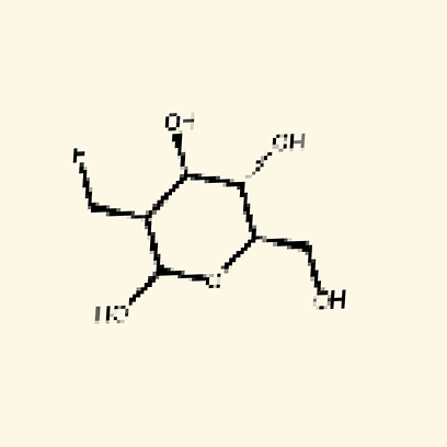 OC[C@H]1OC(O)[C@@H](CF)[C@@H](O)[C@@H]1O